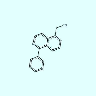 N#CCc1cccc2c(-c3ccccc3)nccc12